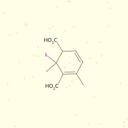 CC1=C(C(=O)O)C(C)(I)C(C(=O)O)C=C1